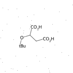 CC(C)(C)OC(CC(=O)O)C(=O)O